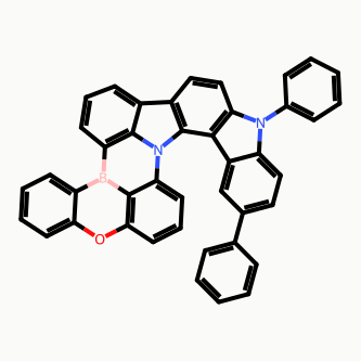 c1ccc(-c2ccc3c(c2)c2c(ccc4c5cccc6c5n(c42)-c2cccc4c2B6c2ccccc2O4)n3-c2ccccc2)cc1